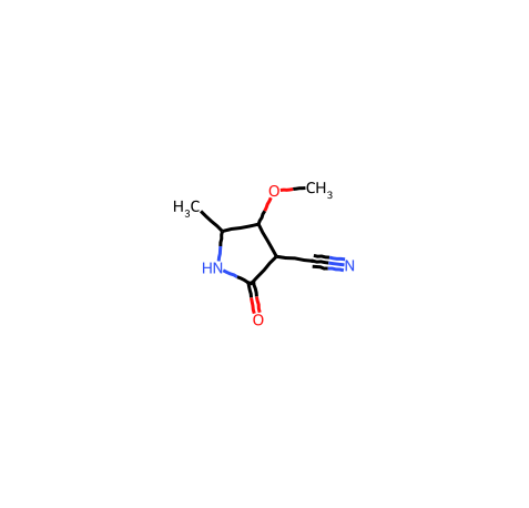 COC1C(C)NC(=O)C1C#N